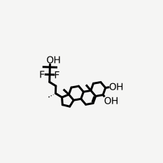 C[C@H](CCC(F)(F)C(C)(C)O)C1CCC2C3CC=C4C(O)C(O)CCC4(C)C3CCC21C